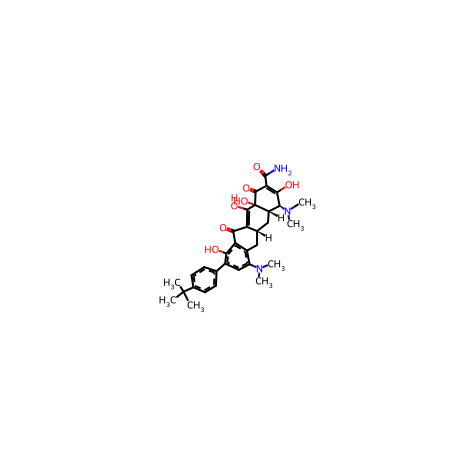 CN(C)c1cc(-c2ccc(C(C)(C)C)cc2)c(O)c2c1C[C@H]1C[C@H]3[C@H](N(C)C)C(O)=C(C(N)=O)C(=O)[C@@]3(O)C(O)=C1C2=O